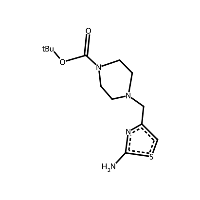 CC(C)(C)OC(=O)N1CCN(Cc2csc(N)n2)CC1